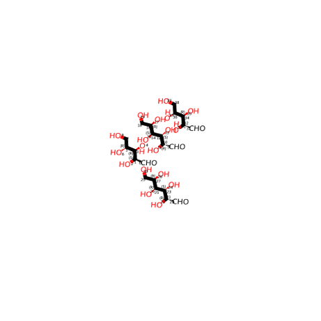 O=C[C@@H](O)[C@H](O)[C@H](O)CO.O=C[C@H](O)[C@@H](O)[C@@H](O)[C@H](O)CO.O=C[C@H](O)[C@@H](O)[C@H](O)[C@H](O)CO.O=C[C@H](O)[C@H](O)[C@H](O)CO